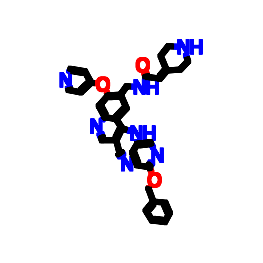 N#Cc1cnc2cc(Oc3ccncc3)c(CNC(=O)C=C3CCNCC3)cc2c1Nc1ccc(OCc2ccccc2)nc1